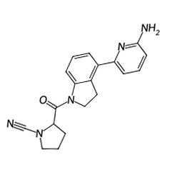 N#CN1CCCC1C(=O)N1CCc2c(-c3cccc(N)n3)cccc21